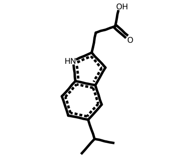 CC(C)c1ccc2[nH]c(CC(=O)O)cc2c1